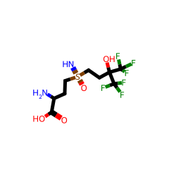 N=S(=O)(CCC(N)C(=O)O)CCC(O)(C(F)(F)F)C(F)(F)F